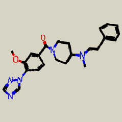 COc1cc(C(=O)N2CCC(N(C)CCc3ccccc3)CC2)ccc1-n1cncn1